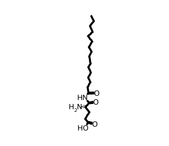 CCCCCCCCCCCCCCCC(=O)NC(=O)[C@@H](N)CCC(=O)O